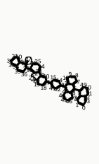 c1ccc2c(-c3c4ccccc4c(-c4ccc(-c5ccc6sc7c(ccc8oc9c%10ccccc%10ccc9c87)c6c5)cc4)c4ccccc34)cccc2c1